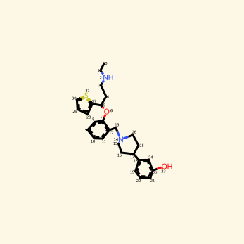 CCNCCC(Oc1ccccc1CN1CCC(c2cccc(O)c2)CC1)c1cccs1